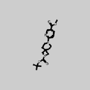 COC(=O)c1ccc(N2CCC3(CC2)CN(C(=O)OC(C)(C)C)C3)nc1